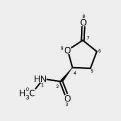 CNC(=O)[C@@H]1CCC(=O)O1